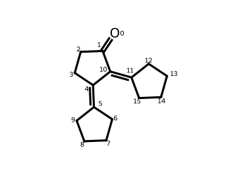 O=C1CCC(=C2CCCC2)C1=C1CCCC1